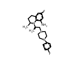 C=C(CN1CCN(c2ccc(F)cc2)CC1)N1c2c(N)cc(F)cc2CCC1C